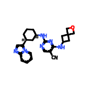 N#Cc1cnc(N[C@@H]2CCC[C@H](c3cnc4ccccn34)C2)nc1NC1CC2(COC2)C1